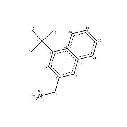 CC(C)(C)c1cc(CN)cc2ccccc12